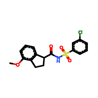 COc1cccc2c1CCC2C(=O)NS(=O)(=O)c1cccc(Cl)c1